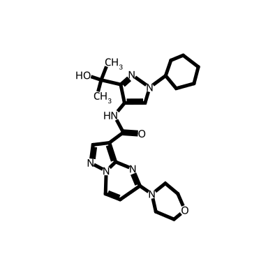 CC(C)(O)c1nn(C2CCCCC2)cc1NC(=O)c1cnn2ccc(N3CCOCC3)nc12